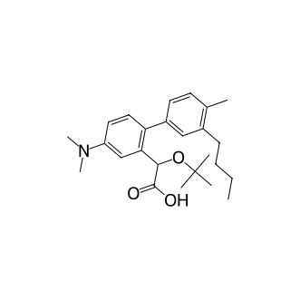 CCCCc1cc(-c2ccc(N(C)C)cc2C(OC(C)(C)C)C(=O)O)ccc1C